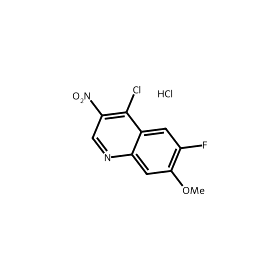 COc1cc2ncc([N+](=O)[O-])c(Cl)c2cc1F.Cl